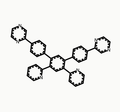 c1ccc(-c2cc(-c3ccccn3)c(-c3ccc(-c4cnccn4)cc3)cc2-c2ccc(-c3cnccn3)cc2)nc1